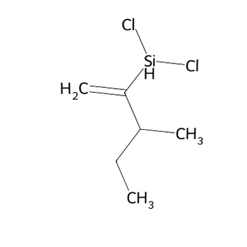 C=C(C(C)CC)[SiH](Cl)Cl